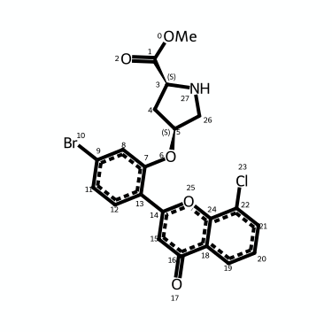 COC(=O)[C@@H]1C[C@H](Oc2cc(Br)ccc2-c2cc(=O)c3cccc(Cl)c3o2)CN1